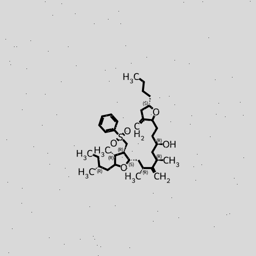 C=C1C[C@H](CCCC)OC1CC[C@@H](O)C[C@@H](C)C(=C)[C@H](C)C[C@@H]1OC(C[C@H](C)CC)[C@H](C)[C@H]1CS(=O)(=O)c1ccccc1